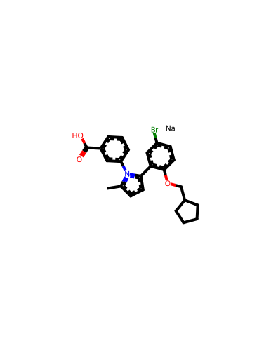 Cc1ccc(-c2cc(Br)ccc2OCC2CCCC2)n1-c1cccc(C(=O)O)c1.[Na]